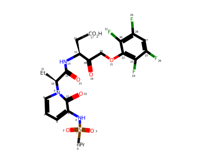 CCCS(=O)(=O)Nc1cccn([C@@H](CC)C(=O)N[C@@H](CC(=O)O)C(=O)COc2c(F)c(F)cc(F)c2F)c1=O